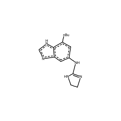 CCCCc1cc(NC2=NCCN2)cc2nc[nH]c12